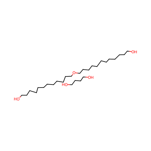 OCCCCCCCCCCCCOCCCCCCCCCCCCO.OCCCCO